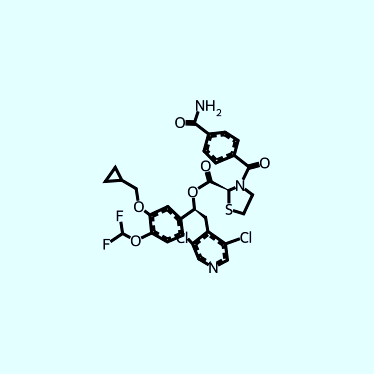 NC(=O)c1ccc(C(=O)N2CCS[C@H]2C(=O)O[C@@H](Cc2c(Cl)cncc2Cl)c2ccc(OC(F)F)c(OCC3CC3)c2)cc1